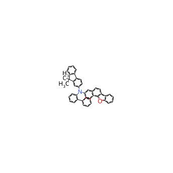 CC1(C)c2ccccc2-c2ccc(N(c3ccc4c(ccc5c6ccccc6oc45)c3)c3ccccc3-c3ccccc3)cc21